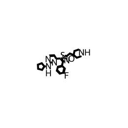 OC1(Cc2nc(-c3cccc(F)c3)c(-c3ccnc(NC4CCCC4)n3)s2)CCNCC1